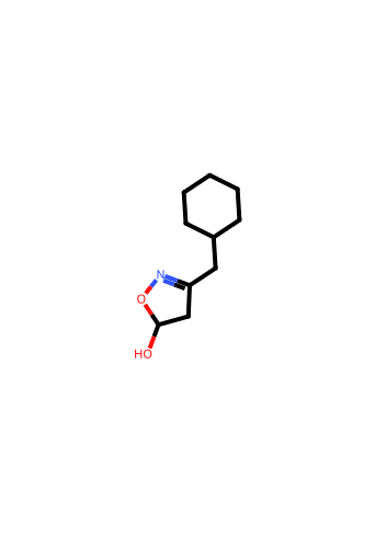 OC1CC(CC2CCCCC2)=NO1